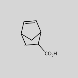 O=C(O)C1[CH]C2C=CC1C2